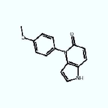 COc1ccc(-n2c(=O)ccc3[nH]ccc32)cc1